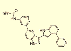 CCCC(=O)Nc1cncc(-c2ccc3[nH]nc(-c4cc5c(-c6cccnc6)cccc5[nH]4)c3n2)c1